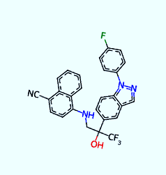 N#Cc1ccc(NCC(O)(c2ccc3c(cnn3-c3ccc(F)cc3)c2)C(F)(F)F)c2ccccc12